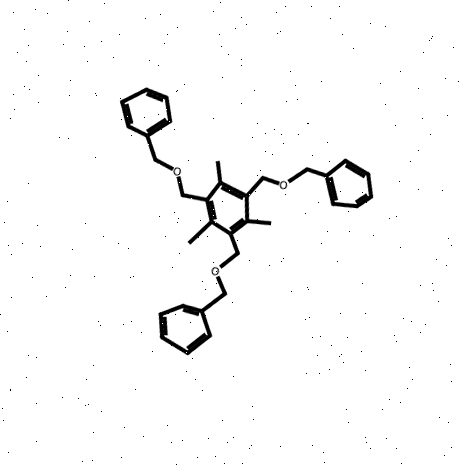 Cc1c(COCc2ccccc2)c(C)c(COCc2ccccc2)c(C)c1COCc1ccccc1